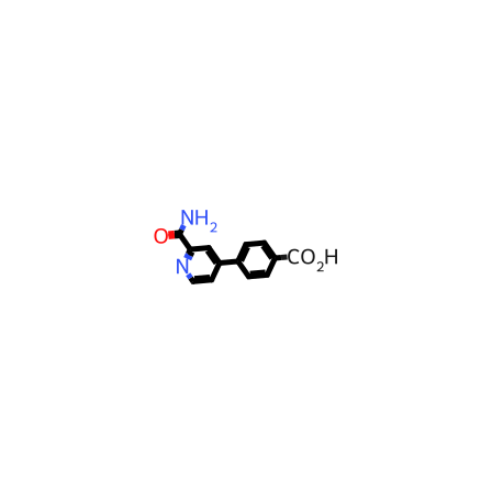 NC(=O)c1cc(-c2ccc(C(=O)O)cc2)ccn1